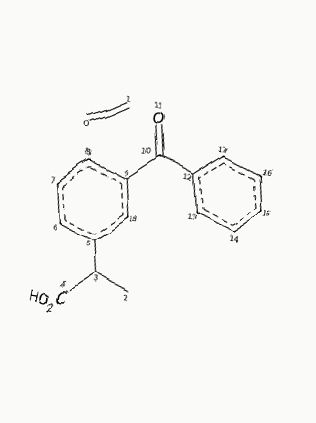 C=C.CC(C(=O)O)c1cccc(C(=O)c2ccccc2)c1